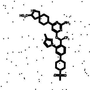 Cc1ccn(-c2cc(C3CCN(S(C)(=O)=O)CC3)ccc2[C@@H](Oc2cc(N3CCC4(CC3)CNC(C(=O)O)C4)nc(N)n2)C(F)(F)F)n1